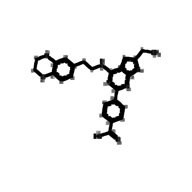 CCc1cc2c(NCCc3ccc4c(c3)OCCO4)nc(-c3ccc(C(=O)O)cc3)nc2s1